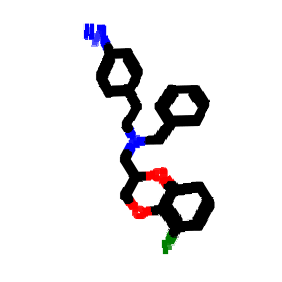 Nc1ccc(CCN(Cc2ccccc2)CC2COc3c(F)cccc3O2)cc1